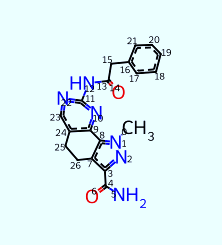 Cn1nc(C(N)=O)c2c1-c1nc(NC(=O)Cc3ccccc3)ncc1CC2